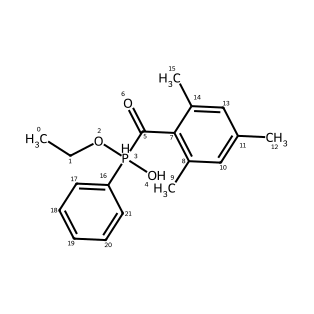 CCO[PH](O)(C(=O)c1c(C)cc(C)cc1C)c1ccccc1